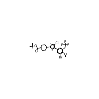 COc1c(Br)cc(-c2nc(C3CCN(C(=O)OC(C)(C)C)CC3)sc2Cl)cc1SC(F)(F)F